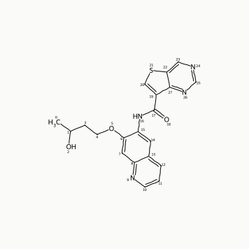 CC(O)CCOc1cc2ncccc2cc1NC(=O)c1csc2cncnc12